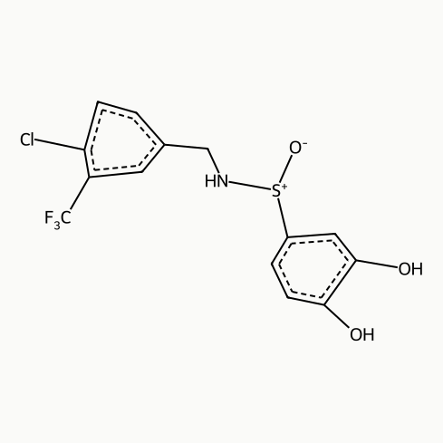 [O-][S+](NCc1ccc(Cl)c(C(F)(F)F)c1)c1ccc(O)c(O)c1